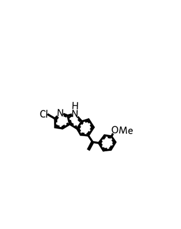 C=C(c1cccc(OC)c1)c1ccc2[nH]c3nc(Cl)ccc3c2c1